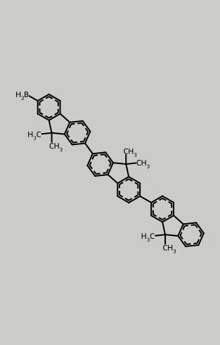 Bc1ccc2c(c1)C(C)(C)c1cc(-c3ccc4c(c3)C(C)(C)c3cc(-c5ccc6c(c5)C(C)(C)c5ccccc5-6)ccc3-4)ccc1-2